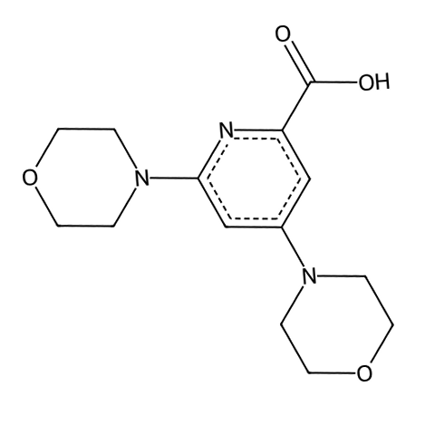 O=C(O)c1cc(N2CCOCC2)cc(N2CCOCC2)n1